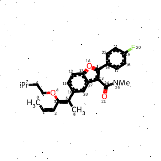 C/C=C\C(OCCC(C)C)=C(/C)c1ccc2oc(-c3ccc(F)cc3)c(C(=O)NC)c2c1